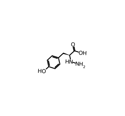 NN[C@@H](Cc1ccc(O)cc1)C(=O)O